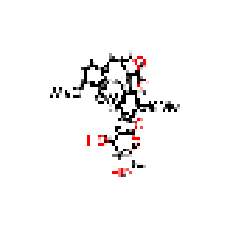 COc1ccc(C[C@H]2COC(=O)[C@@H]2Cc2ccc(O[C@H]3C[C@@H](O)C[C@@H](CO)O3)c(OC)c2)cc1OC